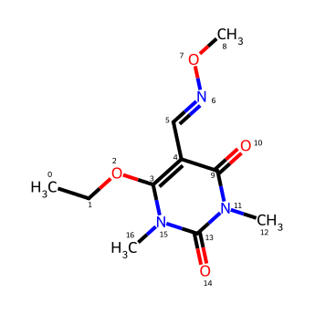 CCOc1c(C=NOC)c(=O)n(C)c(=O)n1C